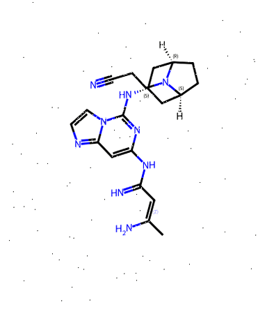 C/C(N)=C/C(=N)Nc1cc2nccn2c(N[C@@H]2C[C@H]3CC[C@@H](C2)N3CCC#N)n1